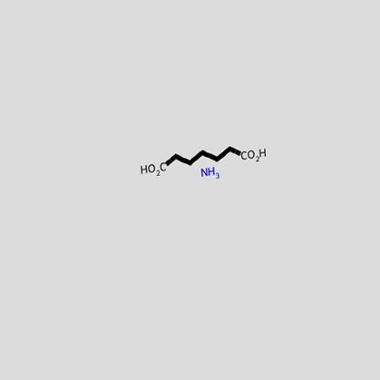 N.O=C(O)CCCCCC(=O)O